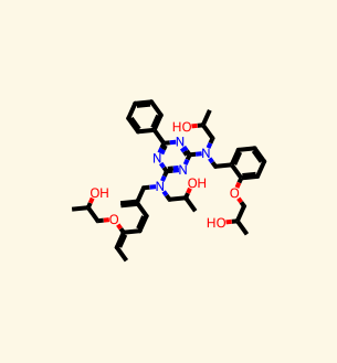 C=C(/C=C\C(=C/C)OCC(C)O)CN(CC(C)O)c1nc(-c2ccccc2)nc(N(Cc2ccccc2OCC(C)O)CC(C)O)n1